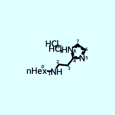 CCCCCCNCCc1ncc[nH]1.Cl.Cl